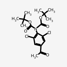 CC(=O)c1cc(Cl)c(N(C(=O)OC(C)(C)C)C(=O)OC(C)(C)C)c(Cl)c1